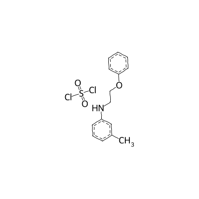 Cc1cccc(NCCOc2ccccc2)c1.O=S(=O)(Cl)Cl